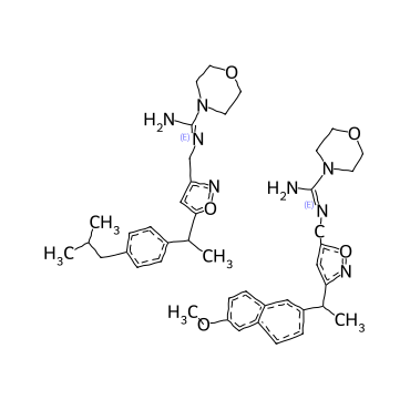 CC(C)Cc1ccc(C(C)c2cc(C/N=C(\N)N3CCOCC3)no2)cc1.COc1ccc2cc(C(C)c3cc(C/N=C(\N)N4CCOCC4)on3)ccc2c1